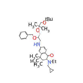 CCN(CC1CC1)C1C(=O)c2ccc(NCC(COC(C)(C)COC(C)(C)C)OCc3ccccc3)cc2C(C)(C)[C@H]1C